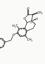 C=C1C(=O)OC2c3c(C)c(OCc4cccc(Cl)c4)cc(C)c3CC[C@@H]12